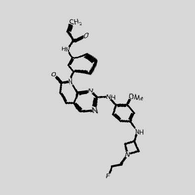 C=CC(=O)Nc1cccc(-n2c(=O)ccc3cnc(Nc4ccc(NC5CN(CCF)C5)cc4OC)nc32)c1